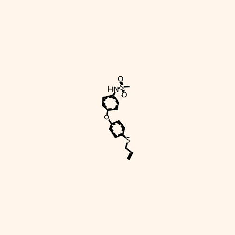 C=CCSc1ccc(Oc2ccc(NS(C)(=O)=O)cc2)cc1